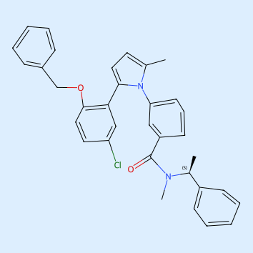 Cc1ccc(-c2cc(Cl)ccc2OCc2ccccc2)n1-c1cccc(C(=O)N(C)[C@@H](C)c2ccccc2)c1